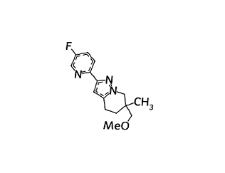 COCC1(C)CCc2cc(-c3ccc(F)cn3)nn2C1